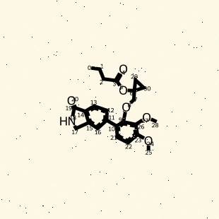 CCCC(=O)OC1(COc2c(-c3ccc4c(c3)CNC4=O)ccc(OC)c2OC)CC1